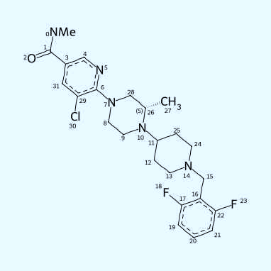 CNC(=O)c1cnc(N2CCN(C3CCN(Cc4c(F)cccc4F)CC3)[C@@H](C)C2)c(Cl)c1